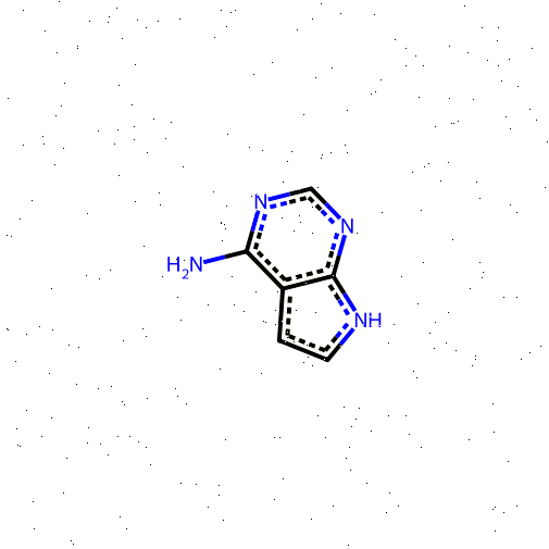 Nc1ncnc2[nH]ccc12